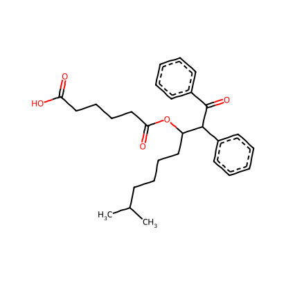 CC(C)CCCCC(OC(=O)CCCCC(=O)O)C(C(=O)c1ccccc1)c1ccccc1